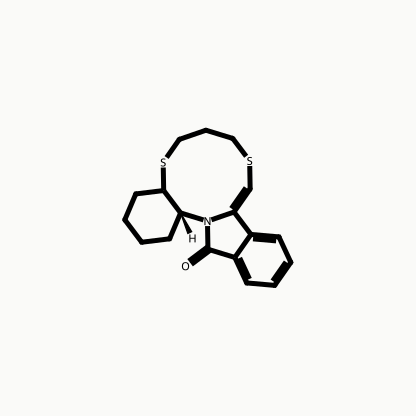 O=C1c2ccccc2/C2=C/SCCCSC3CCCC[C@H]3N12